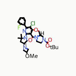 COC1CN([C@H]2CN(c3nc(-c4ccccc4F)c(Cl)c4c3C(=O)N3CCN(C(=O)OC(C)(C)C)C[C@@H]3CO4)C(C)(C)C2)C1